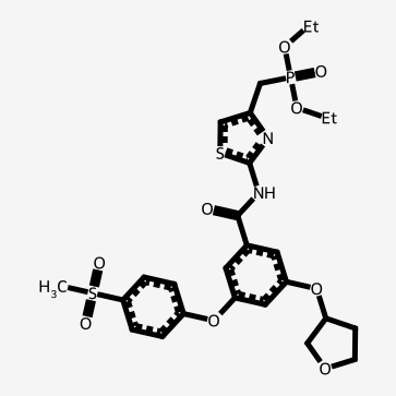 CCOP(=O)(Cc1csc(NC(=O)c2cc(Oc3ccc(S(C)(=O)=O)cc3)cc(OC3CCOC3)c2)n1)OCC